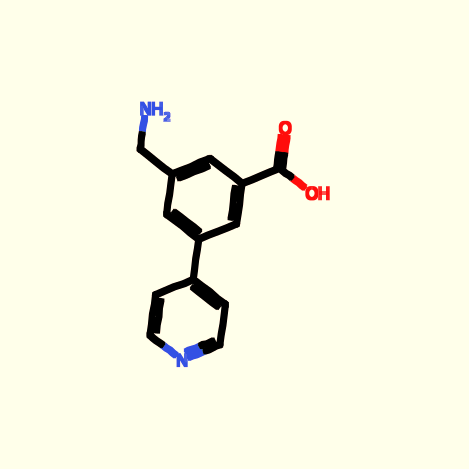 NCc1cc(C(=O)O)cc(-c2ccncc2)c1